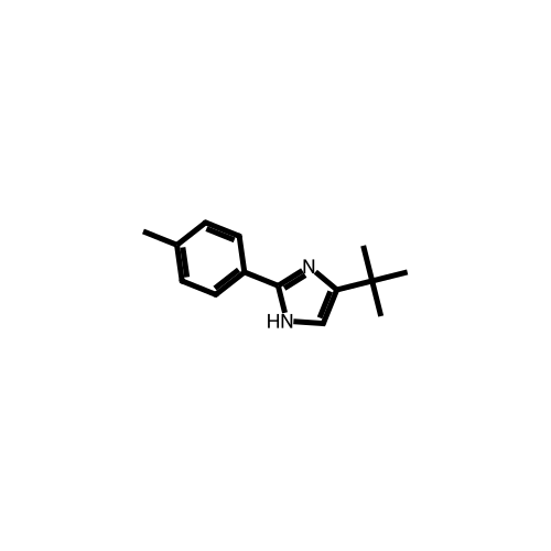 Cc1ccc(-c2nc(C(C)(C)C)c[nH]2)cc1